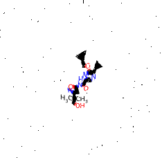 CC(C)(CO)c1cc(NC(=O)c2cnc(C3CC3)c(OCC3CC3)n2)on1